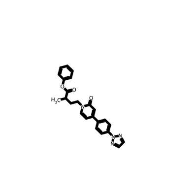 CC(CCn1ccc(-c2ccc(-n3nccn3)cc2)cc1=O)C(=O)Oc1ccccc1